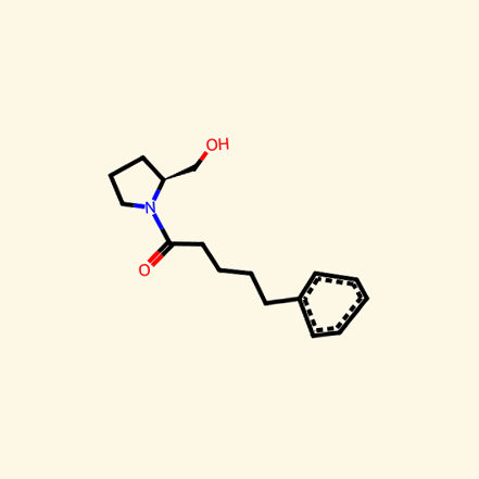 O=C(CCCCc1ccccc1)N1CCC[C@H]1CO